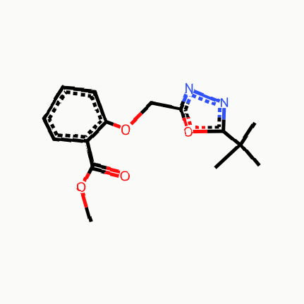 COC(=O)c1ccccc1OCc1nnc(C(C)(C)C)o1